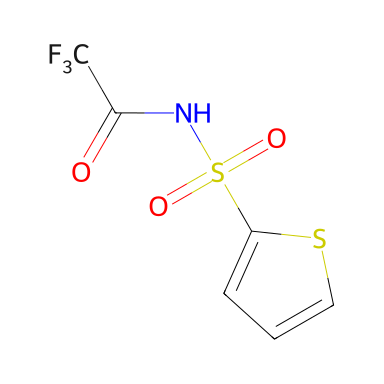 O=C(NS(=O)(=O)c1cccs1)C(F)(F)F